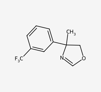 CC1(c2cccc(C(F)(F)F)c2)COC=N1